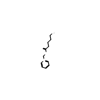 CCCCCCCCCCCCCC(=O)OC[n+]1ccccc1.[Cl-]